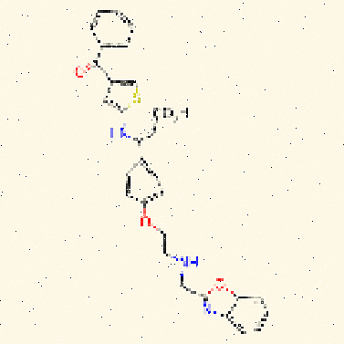 O=C(O)CC(Nc1cc(C(=O)c2ccccc2)cs1)c1ccc(OCCNCc2nc3ccccc3o2)cc1